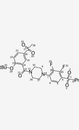 CC(C)S(=O)(=O)c1ccc(N2CCN(C(=O)c3cc(S(C)(=O)=O)ccc3OC(C)(C)C)CC2)c(F)c1F